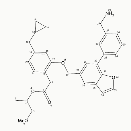 COCC(C)OC(=O)Cc1ccc(CC2CC2)cc1OCc1cc(-c2cccc(CN)c2)c2occc2c1